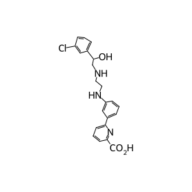 O=C(O)c1cccc(-c2cccc(NCCNCC(O)c3cccc(Cl)c3)c2)n1